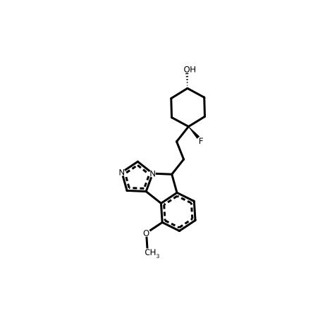 COc1cccc2c1-c1cncn1C2CC[C@]1(F)CC[C@H](O)CC1